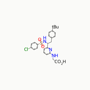 CC(C)(C)c1ccc(CC(NS(=O)(=O)c2ccc(Cl)cc2)c2cccc(NCC(=O)O)n2)cc1